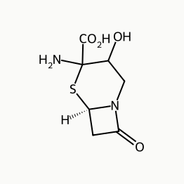 NC1(C(=O)O)S[C@@H]2CC(=O)N2CC1O